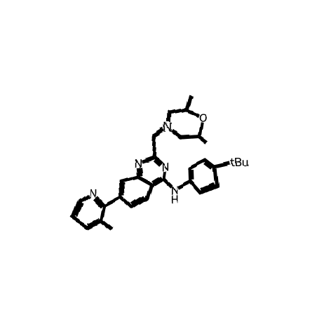 Cc1cccnc1-c1ccc2c(Nc3ccc(C(C)(C)C)cc3)nc(CN3CC(C)OC(C)C3)nc2c1